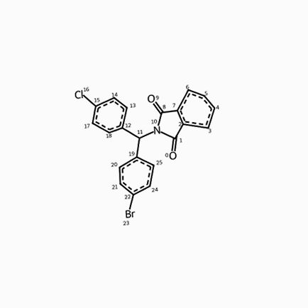 O=C1c2ccccc2C(=O)N1C(c1ccc(Cl)cc1)c1ccc(Br)cc1